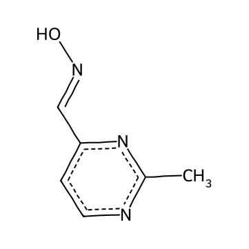 Cc1nccc(/C=N/O)n1